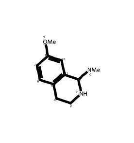 CNC1NCCc2ccc(OC)cc21